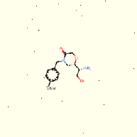 COc1ccc(CN2C[C@@H]([C@H](N)CO)OCC2=O)cc1